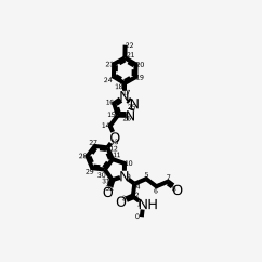 CNC(=O)C(CCC=O)N1Cc2c(OCc3cn(-c4ccc(C)cc4)nn3)cccc2C1=O